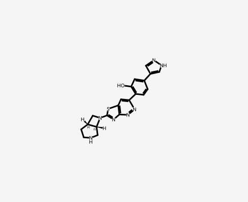 Oc1cc(-c2cn[nH]c2)ccc1-c1cc2sc(N3C[C@H]4CCNC[C@H]43)nc2nn1